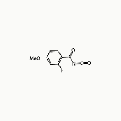 COc1ccc(C(=O)N=C=O)c(F)c1